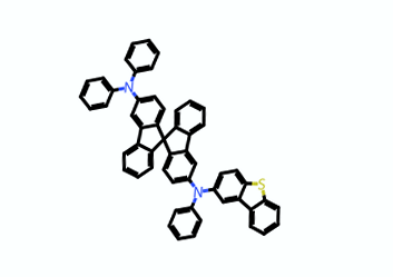 c1ccc(N(c2ccccc2)c2ccc3c(c2)-c2ccccc2C32c3ccccc3-c3cc(N(c4ccccc4)c4ccc5sc6ccccc6c5c4)ccc32)cc1